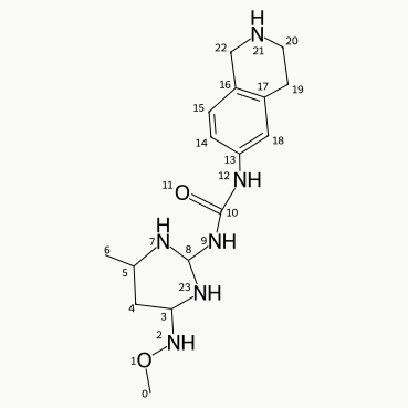 CONC1CC(C)NC(NC(=O)Nc2ccc3c(c2)CCNC3)N1